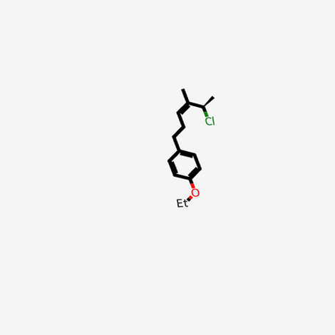 CCOc1ccc(CC/C=C(/C)[C@@H](C)Cl)cc1